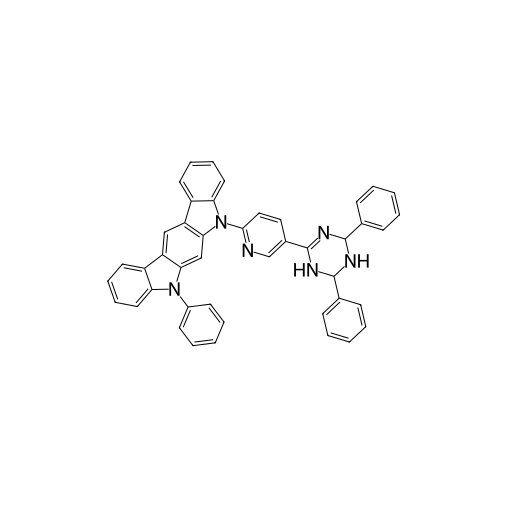 c1ccc(C2N=C(c3ccc(-n4c5ccccc5c5cc6c7ccccc7n(-c7ccccc7)c6cc54)nc3)NC(c3ccccc3)N2)cc1